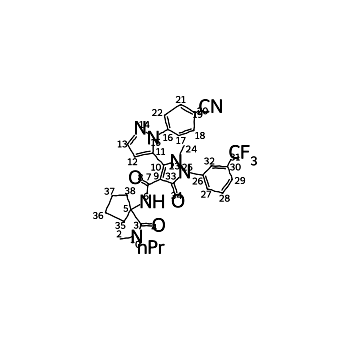 CCCN(C)C(=O)C1(NC(=O)c2c(-c3ccnn3-c3ccc(C#N)cc3)n(C)n(-c3cccc(C(F)(F)F)c3)c2=O)CCCC1